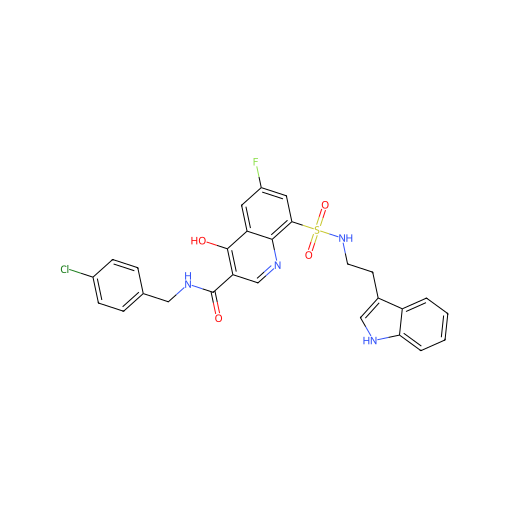 O=C(NCc1ccc(Cl)cc1)c1cnc2c(S(=O)(=O)NCCc3c[nH]c4ccccc34)cc(F)cc2c1O